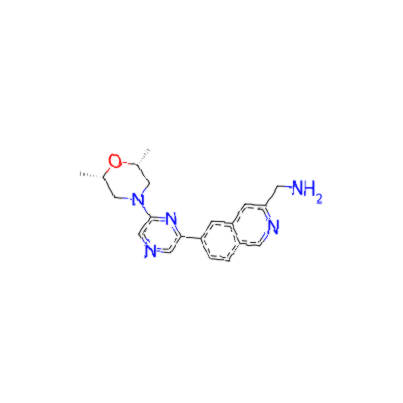 C[C@@H]1CN(c2cncc(-c3ccc4cnc(CN)cc4c3)n2)C[C@H](C)O1